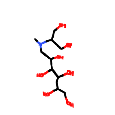 CN(CC(O)C(O)C(O)C(O)CO)C(CO)CO